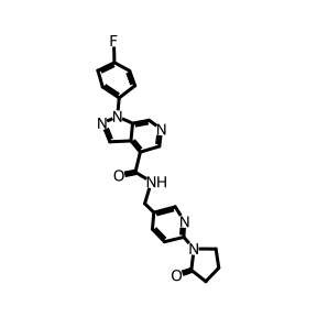 O=C(NCc1ccc(N2CCCC2=O)nc1)c1cncc2c1cnn2-c1ccc(F)cc1